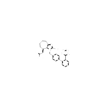 Cc1nc2c(n1Cc1ccc(-c3ccccc3-c3nnn[nH]3)cc1)C(=CC(=O)O)CCCC2